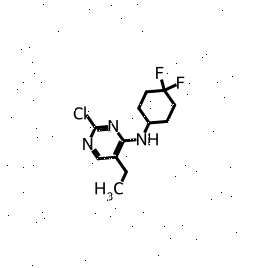 CCc1cnc(Cl)nc1NC1CCC(F)(F)CC1